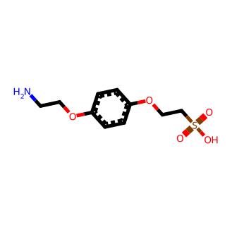 NCCOc1ccc(OCCS(=O)(=O)O)cc1